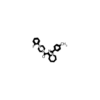 Cc1ccc(-c2nc(C(=O)N3CCN(c4ccccc4F)CC3)c3n2CCCCC3)cc1